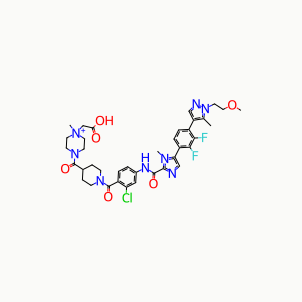 COCCn1ncc(-c2ccc(-c3cnc(C(=O)Nc4ccc(C(=O)N5CCC(C(=O)N6CC[N+](C)(CC(=O)O)CC6)CC5)c(Cl)c4)n3C)c(F)c2F)c1C